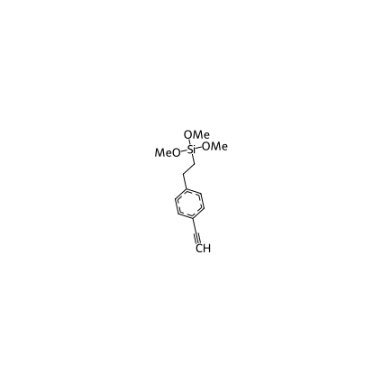 C#Cc1ccc(CC[Si](OC)(OC)OC)cc1